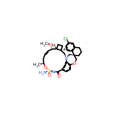 CO[C@H]1/C=C\C[C@H](C)OS(N)(=O)=NC(=O)c2ccc3c(c2)N(C[C@@H]2CC[C@H]21)C[C@@]1(CCCc2cc(Cl)ccc21)CO3